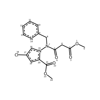 COC(=O)CC(=O)N(Cc1ccccn1)n1cc(Cl)cc1C(=O)OC